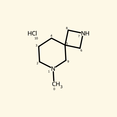 CN1CCCC2(CNC2)C1.Cl